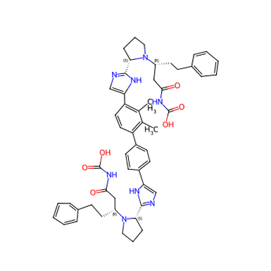 Cc1c(-c2ccc(-c3cnc([C@@H]4CCCN4[C@H](CCc4ccccc4)CC(=O)NC(=O)O)[nH]3)cc2)ccc(-c2cnc([C@@H]3CCCN3[C@H](CCc3ccccc3)CC(=O)NC(=O)O)[nH]2)c1C